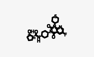 O=C(N[C@H]1CC[C@@H](n2c(=O)c3cc(F)cnc3n(C3CCSCC3)c2=O)CC1)[C@@H]1CCC[C@@H]1O